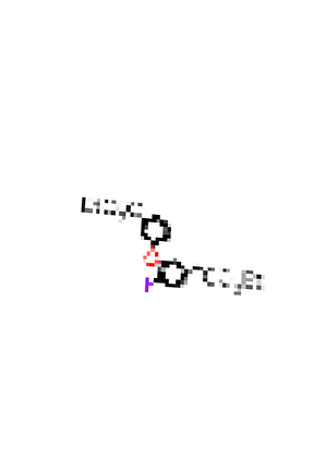 CCOC(=O)Cc1ccc(I)c(Oc2cccc(C(=O)OCC)c2)c1